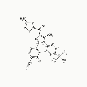 Cc1c(C(=O)N2CC[C@@H](N)C2)nc(-c2ccc(C#N)c(F)c2)n1-c1ccc(C(C)(C)O)cc1